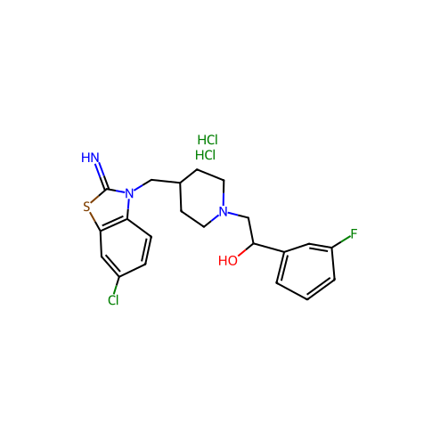 Cl.Cl.N=c1sc2cc(Cl)ccc2n1CC1CCN(CC(O)c2cccc(F)c2)CC1